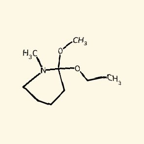 CCOC1(OC)CCCCN1C